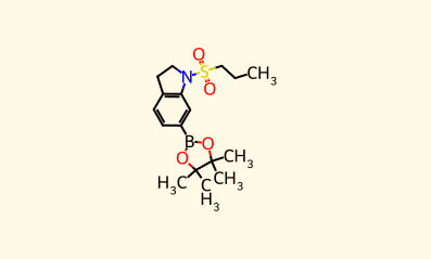 CCCS(=O)(=O)N1CCc2ccc(B3OC(C)(C)C(C)(C)O3)cc21